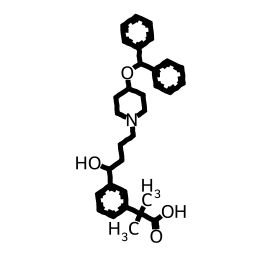 CC(C)(C(=O)O)c1cccc(C(O)CCCN2CCC(OC(c3ccccc3)c3ccccc3)CC2)c1